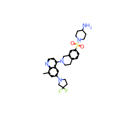 Cc1cc(N2CCC(F)(F)C2)cc2c(N3CCc4ccc(S(=O)(=O)N5CCC(N)CC5)cc4C3)ccnc12